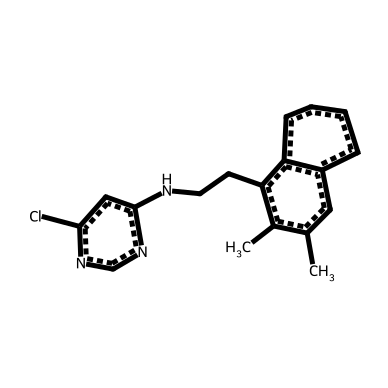 Cc1cc2ccccc2c(CCNc2cc(Cl)ncn2)c1C